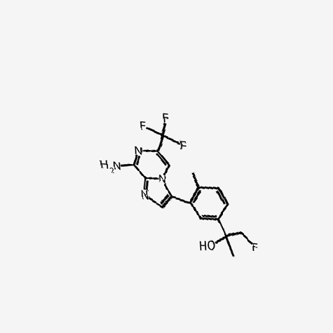 Cc1ccc(C(C)(O)CF)cc1-c1cnc2c(N)nc(C(F)(F)F)cn12